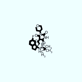 CC(C)(C)[S@@+]([O-])N[C@]1(CC(=O)C2C(=O)NC(=O)N(C3CCOCC3)C2=O)CCc2ccc(F)cc21